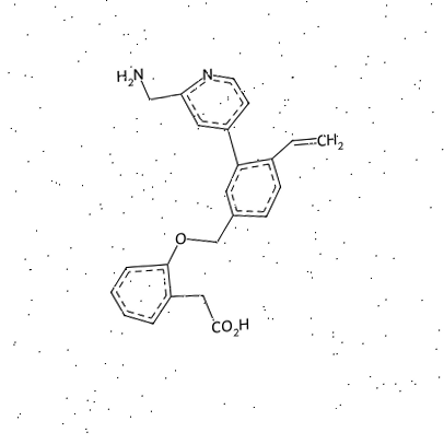 C=Cc1ccc(COc2ccccc2CC(=O)O)cc1-c1ccnc(CN)c1